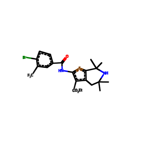 CCOC(=O)c1c(NC(=O)c2ccc(Br)c(C(F)(F)F)c2)sc2c1CC(C)(C)NC2(C)C